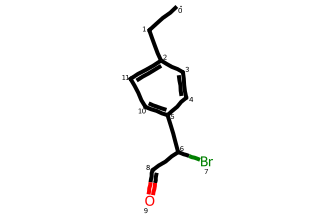 [CH2]Cc1ccc(C(Br)C=O)cc1